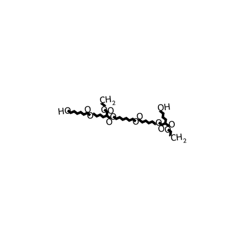 C=CCOC(=O)C(CCCCO)C(=O)OCCCCCC(=O)OCCCCCCOC(=O)C(CCCCOC(=O)CCCCCO)C(=O)OCC=C